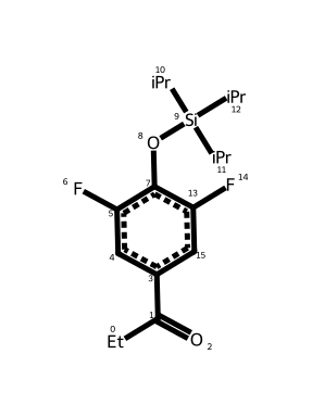 CCC(=O)c1cc(F)c(O[Si](C(C)C)(C(C)C)C(C)C)c(F)c1